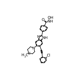 CN1CCN(c2cc3nc(-c4ccc(C(=O)NO)cc4)[nH]c3cc2C#Cc2ccccc2Cl)CC1